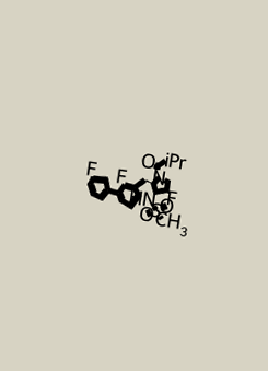 CC(C)C(=O)N1C[C@H](F)[C@H](NS(C)(=O)=O)[C@@H]1Cc1cccc(-c2cccc(F)c2)c1F